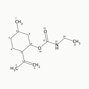 C=C(C)C1CCC(C)CC1OC(=O)NCC